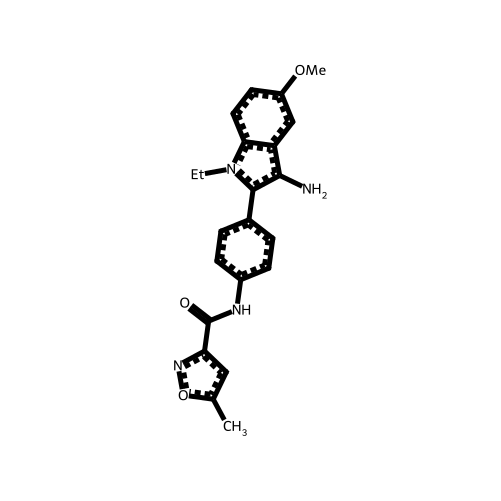 CCn1c(-c2ccc(NC(=O)c3cc(C)on3)cc2)c(N)c2cc(OC)ccc21